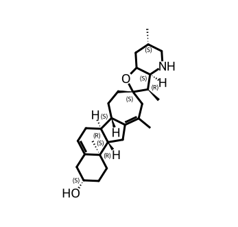 CC1=C2C[C@H]3[C@@H](CC=C4C[C@@H](O)CC[C@@]43C)[C@@H]2CC[C@@]2(C1)OC1C[C@H](C)CN[C@H]1[C@H]2C